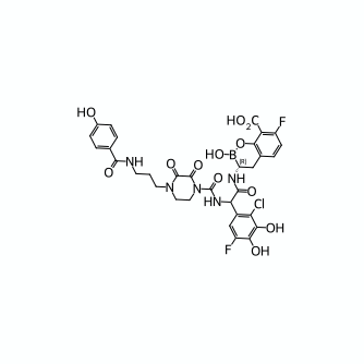 O=C(NCCCN1CCN(C(=O)NC(C(=O)N[C@H]2Cc3ccc(F)c(C(=O)O)c3OB2O)c2cc(F)c(O)c(O)c2Cl)C(=O)C1=O)c1ccc(O)cc1